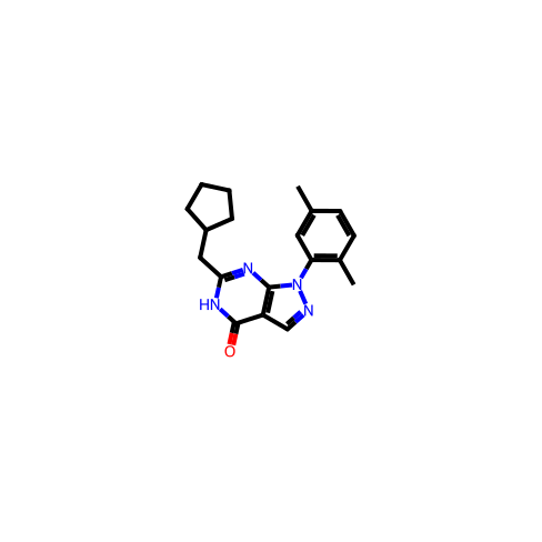 Cc1ccc(C)c(-n2ncc3c(=O)[nH]c(CC4CCCC4)nc32)c1